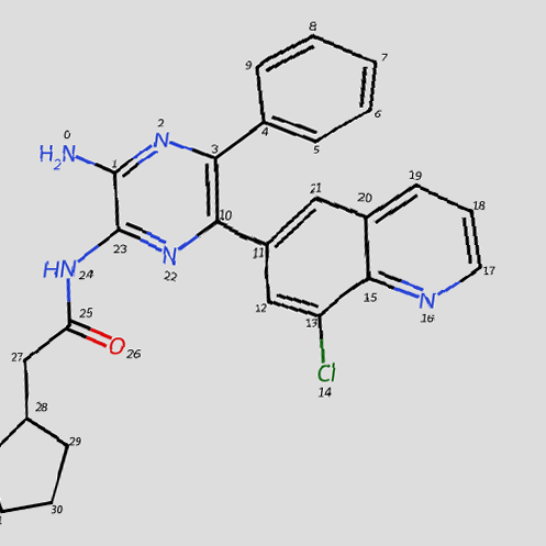 Nc1nc(-c2ccccc2)c(-c2cc(Cl)c3ncccc3c2)nc1NC(=O)CC1CCCC1